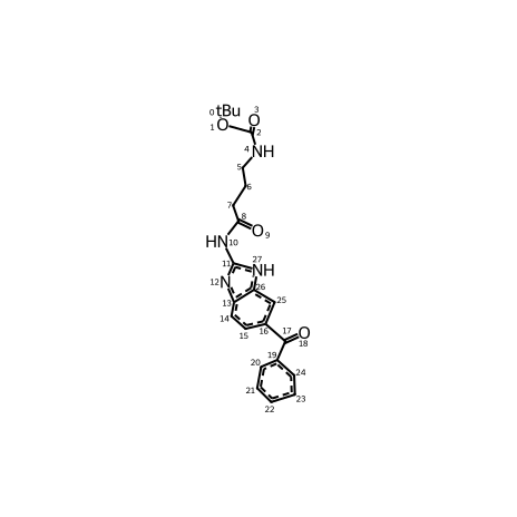 CC(C)(C)OC(=O)NCCCC(=O)Nc1nc2ccc(C(=O)c3ccccc3)cc2[nH]1